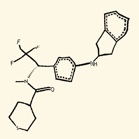 CN(C(=O)C1CCSCC1)[C@@H](c1ccc(NC2Cc3ccccc3C2)cc1)C(F)(F)F